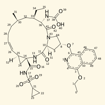 CCOc1cnc(O[C@@H]2C[C@H]3C(=O)N[C@]4(C(=O)NS(=O)(=O)C5CC5)C[C@H]4/C=C\CC[C@@H](C)C[C@@H](CC)[C@H](NC(=O)O)C(=O)N3C2)c2ccccc12